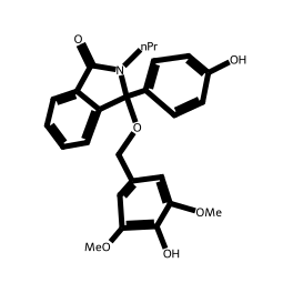 CCCN1C(=O)c2ccccc2C1(OCc1cc(OC)c(O)c(OC)c1)c1ccc(O)cc1